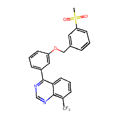 CS(=O)(=O)c1cccc(COc2cccc(-c3ncnc4c(C(F)(F)F)cccc34)c2)c1